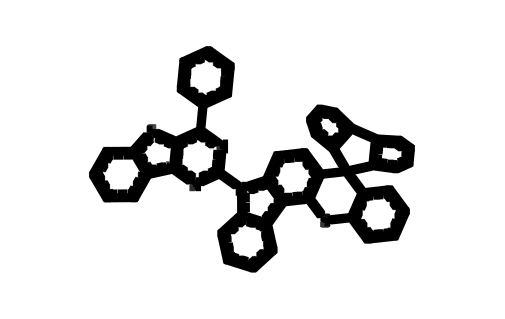 c1ccc(-c2nc(-n3c4ccccc4c4c5c(ccc43)C3(c4ccccc4S5)c4ccccc4-c4ccccc43)nc3c2sc2ccccc23)cc1